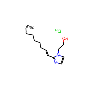 CCCCCCCCCCCCCCCC=Cc1nccn1CCO.Cl